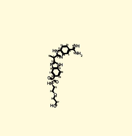 CC(c1nc2cc(C(=N)N)ccc2[nH]1)c1nc2cc(S(=O)(=O)NCCOCCO)ccc2[nH]1